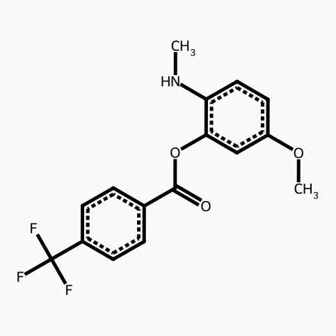 CNc1ccc(OC)cc1OC(=O)c1ccc(C(F)(F)F)cc1